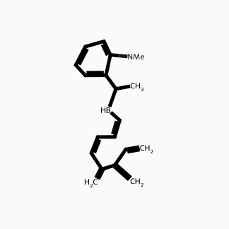 C=CC(=C)C(=C)/C=C\C=C/BC(C)c1ccccc1NC